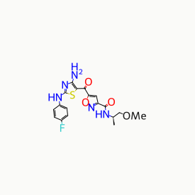 COC[C@@H](C)NC(=O)c1cc(C(=O)c2sc(Nc3ccc(F)cc3)nc2N)on1